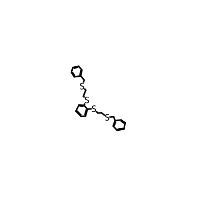 c1ccc(CSCCSc2ccccc2SCCSCc2ccccc2)cc1